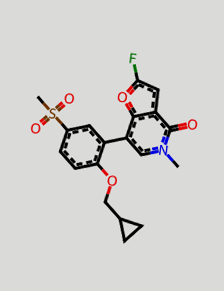 Cn1cc(-c2cc(S(C)(=O)=O)ccc2OCC2CC2)c2oc(F)cc2c1=O